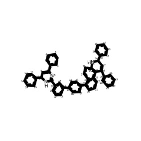 C1=C(c2ccccc2)N=C(c2cccc(-c3ccc(-c4cccc5c6c(ccc45)NC(c4ccccc4)C=C6c4ccccc4)cc3)c2)NC1c1ccccc1